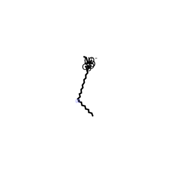 CCCCCCCC/C=C\CCCCCCCCCCCCOS(=O)(=O)C(C)(C(=O)[O-])[N+](C)(C)CC